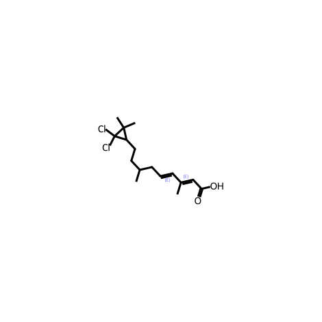 CC(/C=C/CC(C)CCC1C(C)(C)C1(Cl)Cl)=C\C(=O)O